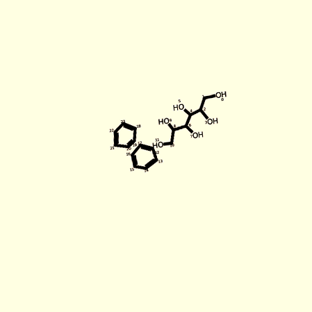 OCC(O)C(O)C(O)C(O)CO.c1ccccc1.c1ccccc1